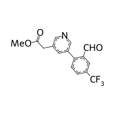 COC(=O)Cc1cncc(-c2ccc(C(F)(F)F)cc2C=O)c1